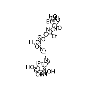 CCc1c2c(nc3ccc(OC(=O)N(C)CC(=O)N4CCC(CCn5ccc6cc(-n7c(O)nnc7-c7cc(C(C)C)c(O)cc7O)ccc65)CC4)cc13)-c1cc3c(c(=O)n1C2)COC(O)[C@]3(O)CC